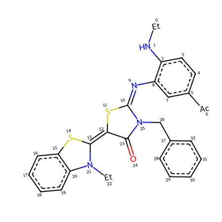 CCNc1ccc(C(C)=O)cc1/N=C1/S/C(=C2\Sc3ccccc3N2CC)C(=O)N1Cc1ccccc1